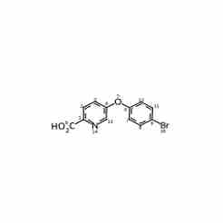 O=C(O)c1ccc(Oc2ccc(Br)cc2)cn1